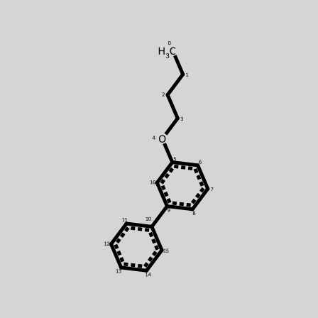 CCC[CH]Oc1cccc(-c2ccccc2)c1